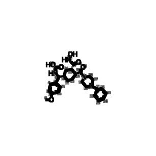 COc1ccc(C(NC(=O)O)[C@@H]2CC[C@H](C(=O)N3CCN(c4ccccc4)CC3)[C@@H](C(=O)NO)C2)cc1